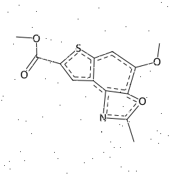 COC(=O)c1cc2c(cc(OC)c3oc(C)nc32)s1